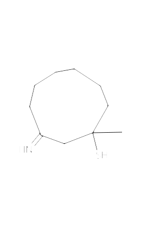 CC1(S)CCCCCCC(=N)C1